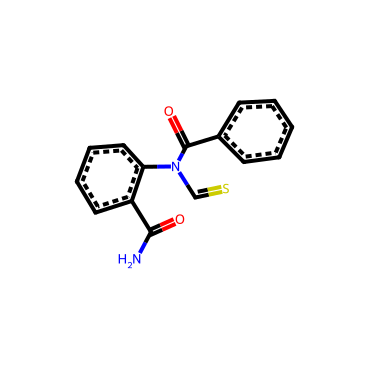 NC(=O)c1ccccc1N(C=S)C(=O)c1ccccc1